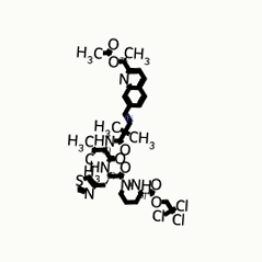 CC(=O)O[C@H](C)c1ccc2ccc(/C=C/C(C)(C)C(=O)N[C@H](C(=O)N[C@@H](Cc3cscn3)C(=O)N3CCC[C@@H](C(=O)OCC(Cl)(Cl)Cl)N3)C(C)C)cc2n1